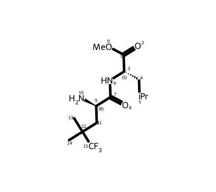 COC(=O)[C@H](CC(C)C)NC(=O)[C@H](N)CC(C)(C)C(F)(F)F